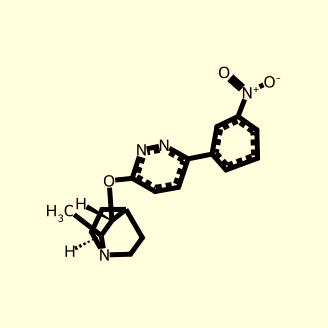 C[C@H]1[C@H](Oc2ccc(-c3cccc([N+](=O)[O-])c3)nn2)C2CCN1CC2